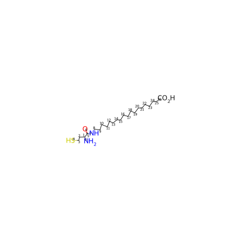 NC(CCS)C(=O)NCCCCCCCCCCCCCCCCCCC(=O)O